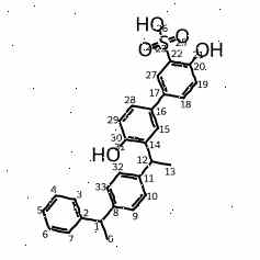 CC(c1ccccc1)c1ccc(C(C)c2cc(-c3ccc(O)c(S(=O)(=O)O)c3)ccc2O)cc1